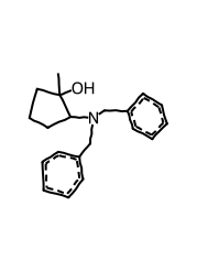 CC1(O)CCCC1N(Cc1ccccc1)Cc1ccccc1